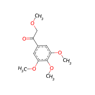 COCC(=O)c1cc(OC)c(OC)c(OC)c1